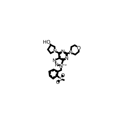 C[N@+]1(Cc2ccccc2S(C)(=O)=O)N=Nc2c(N3CCC(O)C3)nc(N3CCOCC3)nc21